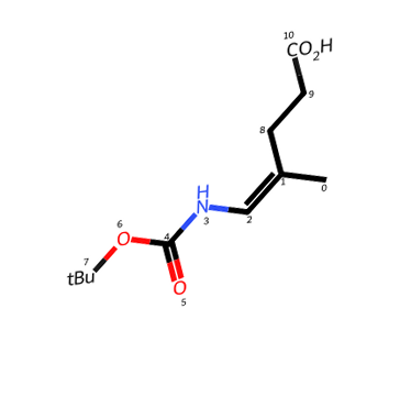 CC(=CNC(=O)OC(C)(C)C)CCC(=O)O